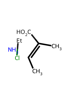 C/C=C(\C)C(=O)O.CCCl.N